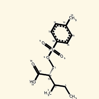 CCC(C)[C@@H](COS(=O)(=O)c1ccc(C)cc1)C(=O)O